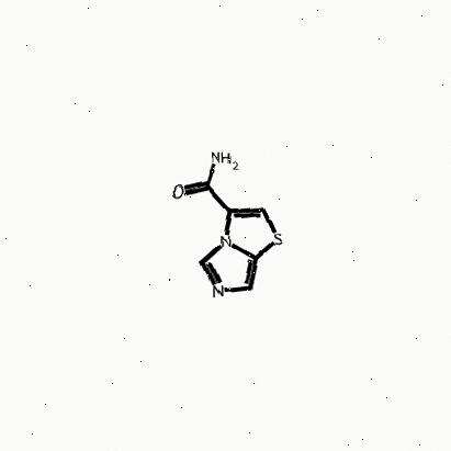 NC(=O)c1csc2cncn12